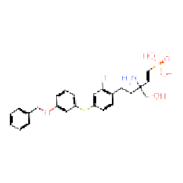 NC(C=CP(=O)(O)O)(CO)CCc1ccc(Sc2cccc(OCc3ccccc3)c2)cc1Cl